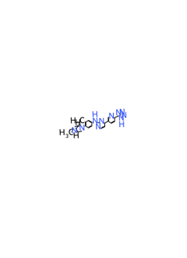 Cc1cc(Nc2nccc(-c3ccc(-c4nnn[nH]4)nc3)n2)ccc1N1C[C@@H]2C[C@H]1CN2C